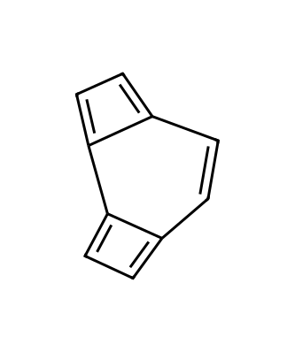 c1cc2ccc2c2ccc12